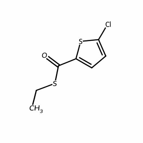 CCSC(=O)c1ccc(Cl)s1